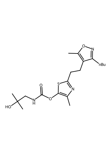 CCCCc1noc(C)c1CCc1nc(C)c(OC(=O)NCC(C)(C)O)s1